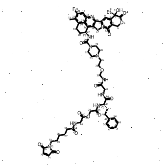 CC[C@@]1(O)C(=O)OCc2c1cc1n(c2=O)Cc2c-1nc1cc(F)c(C)c3c1c2[C@@H](NC(=O)N1CCN(CCOCNC(=O)CNC(=O)[C@H](CCc2ccccc2)NC(=O)COC(=O)CNC(=O)CCCCCN2C(=O)C=CC2=O)CC1)CC3